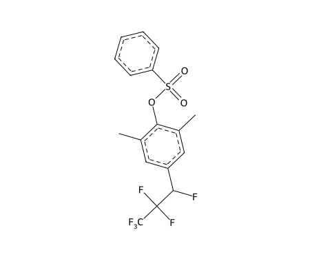 Cc1cc(C(F)C(F)(F)C(F)(F)F)cc(C)c1OS(=O)(=O)c1ccccc1